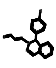 O=CC=CN1N=Cc2ccccc2C1c1ccc(Cl)cc1